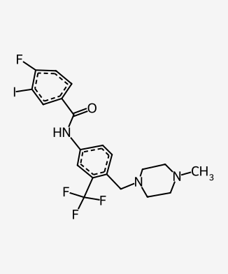 CN1CCN(Cc2ccc(NC(=O)c3ccc(F)c(I)c3)cc2C(F)(F)F)CC1